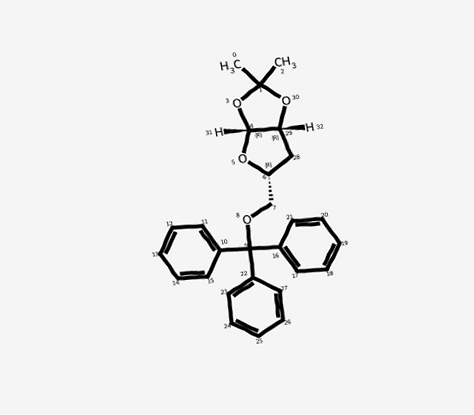 CC1(C)O[C@H]2O[C@@H](COC(c3ccccc3)(c3ccccc3)c3ccccc3)C[C@H]2O1